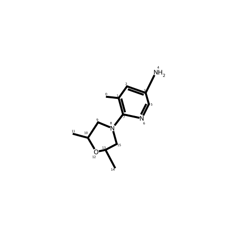 Cc1cc(N)cnc1N1CC(C)OC(C)C1